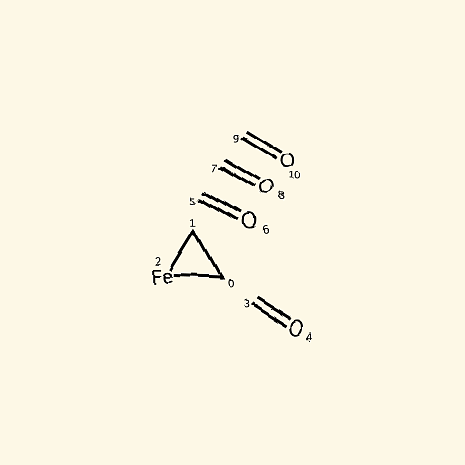 [CH2]1[CH2][Fe]1.[C]=O.[C]=O.[C]=O.[C]=O